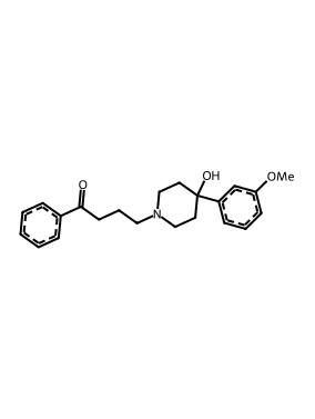 COc1cccc(C2(O)CCN(CCCC(=O)c3ccccc3)CC2)c1